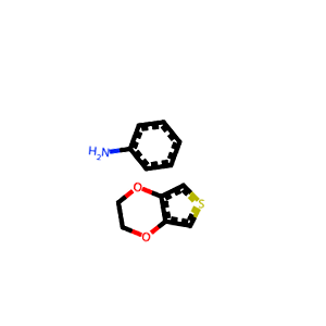 Nc1ccccc1.c1scc2c1OCCO2